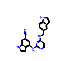 N#Cc1cc(Nc2nccc(NCc3ccc4[nH]ccc4c3)n2)c2cc[nH]c2c1